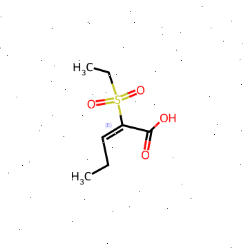 CC/C=C(\C(=O)O)S(=O)(=O)CC